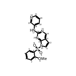 COc1ccccc1S(=O)(=O)n1ccc2cnc(Nc3cccnc3)nc21